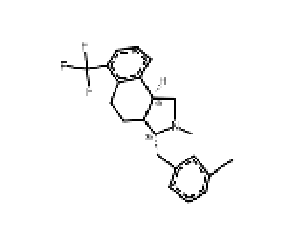 Cc1cccc(C[C@@H]2C3CCc4c(cccc4C(F)(F)F)[C@H]3CN2C)c1